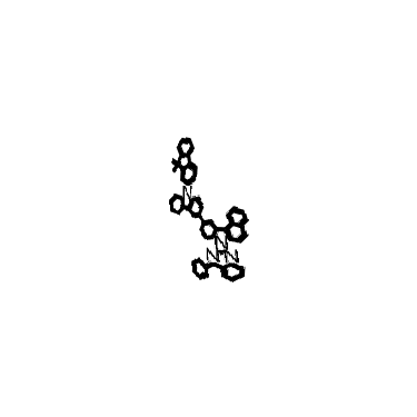 CC1(C)c2ccccc2-c2ccc(-n3c4c(c5cc(C6=CC7c8c(ccc9ccccc89)N(c8nc(-c9ccccc9)c9ccccc9n8)C7C=C6)ccc53)CCC=C4)cc21